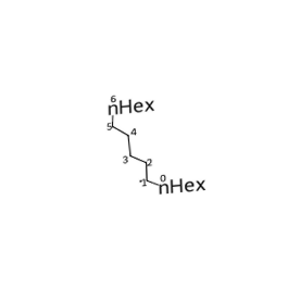 [CH2]CCCCC[CH]CCCCCCCCC[CH2]